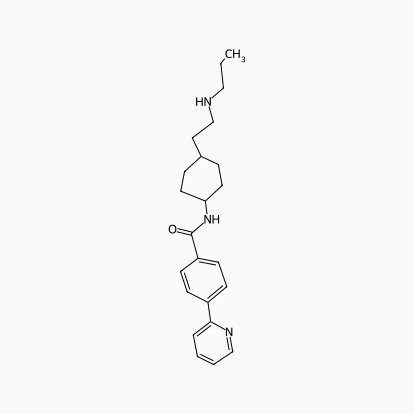 CCCNCCC1CCC(NC(=O)c2ccc(-c3ccccn3)cc2)CC1